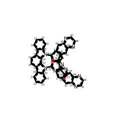 c1ccc(-c2cccc(-n3c4ccccc4c4ccc5c6ccccc6n(-c6nc(-c7ccc8nccnc8c7)nc(-c7ccc8nccnc8c7)n6)c5c43)n2)nc1